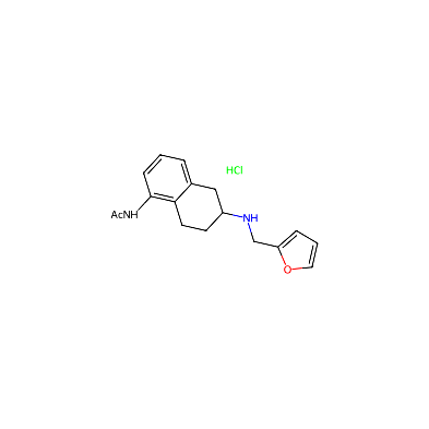 CC(=O)Nc1cccc2c1CCC(NCc1ccco1)C2.Cl